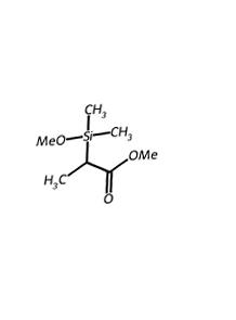 COC(=O)C(C)[Si](C)(C)OC